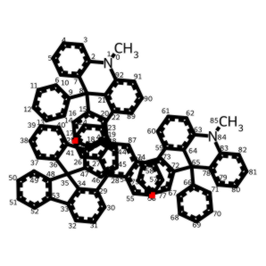 CN1c2ccccc2C(c2ccccc2)(c2ccccc2)c2c(-c3cccc4c(-c5cccc6c5C5(c7ccccc7-c7ccccc75)c5ccccc5-6)c5cccc(-c6cccc7c6C(c6ccccc6)(c6ccccc6)c6ccccc6N7C)c5cc34)cccc21